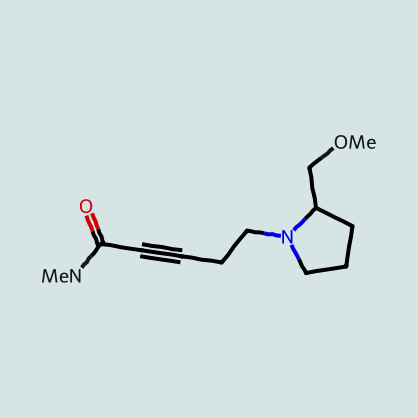 CNC(=O)C#CCCN1CCCC1COC